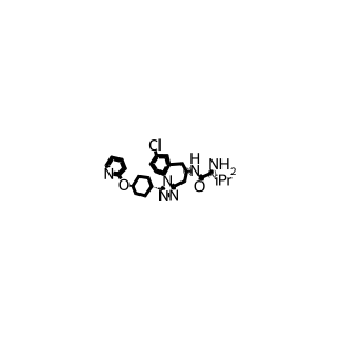 CC(C)[C@@H](N)C(=O)N[C@@H]1Cc2cc(Cl)ccc2-n2c(nnc2[C@H]2CC[C@H](Oc3ccccn3)CC2)C1